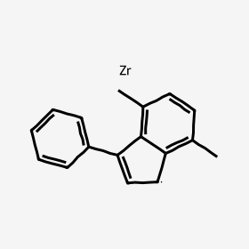 Cc1ccc(C)c2c1[CH]C=C2c1ccccc1.[Zr]